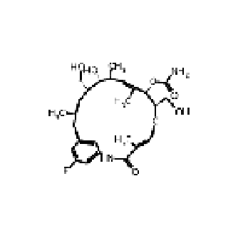 C/C1=C\CC[C@H](CO)[C@@H](OC(N)=O)/C(C)=C/[C@H](C)[C@@H](O)[C@@H](CO)C[C@H](C)Cc2cc(F)cc(c2)NC1=O